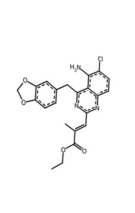 CCOC(=O)/C(C)=C/c1nc(Cc2ccc3c(c2)OCO3)c2c(N)c(Cl)ccc2n1